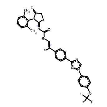 Cc1cccc(C)c1N1C(=O)CS/C1=N\C(=O)N/C=C(\F)c1ccc(-c2ncn(-c3ccc(OC(F)(F)F)cc3)n2)cc1